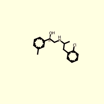 Cc1cccc([C@@H](O)CNC(C)Cc2ccccc2Cl)c1